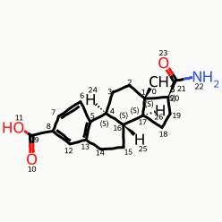 C[C@]12CC[C@@H]3c4ccc(C(=O)O)cc4CC[C@H]3[C@@H]1CC[C@@H]2C(N)=O